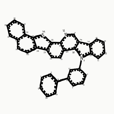 c1ccc(-c2cccc(-n3c4ccccc4c4cnc5c(ccc6c7ccc8ccccc8c7sc65)c43)c2)cc1